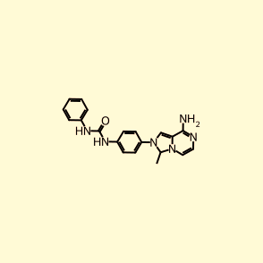 CC1N2C=CN=C(N)C2=CN1c1ccc(NC(=O)Nc2ccccc2)cc1